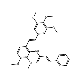 COc1cc(C=Cc2ccc(OC)c(OC)c2NC(=O)C=Cc2ccccc2)cc(OC)c1OC